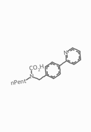 CCCCCN(Cc1ccc(-c2ccccn2)cc1)C(=O)O